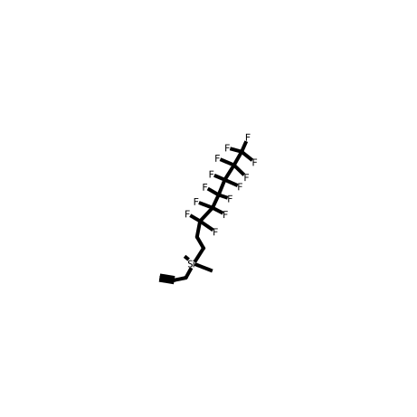 C#CC[Si](C)(C)CCC(F)(F)C(F)(F)C(F)(F)C(F)(F)C(F)(F)C(F)(F)F